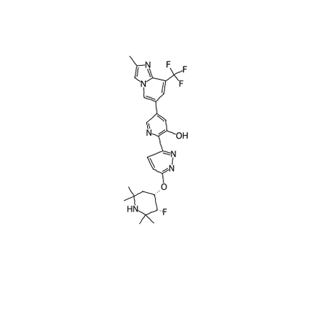 Cc1cn2cc(-c3cnc(-c4ccc(O[C@H]5CC(C)(C)NC(C)(C)[C@H]5F)nn4)c(O)c3)cc(C(F)(F)F)c2n1